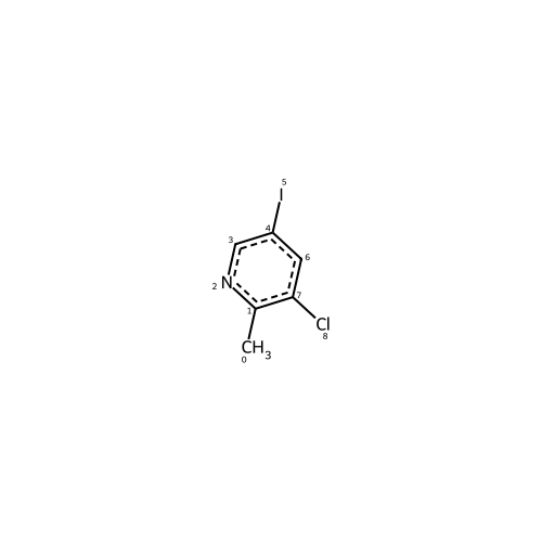 Cc1ncc(I)cc1Cl